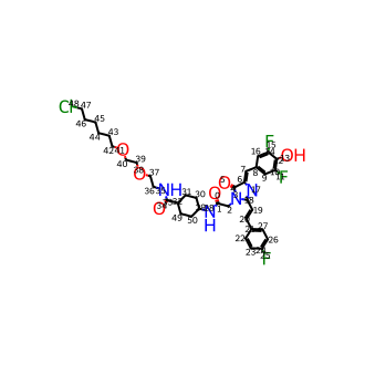 O=C(CN1C(=O)/C(=C/c2cc(F)c(O)c(F)c2)N=C1/C=C/c1ccc(F)cc1)NC1CCC(C(=O)NCCOCCOCCCCCCCl)CC1